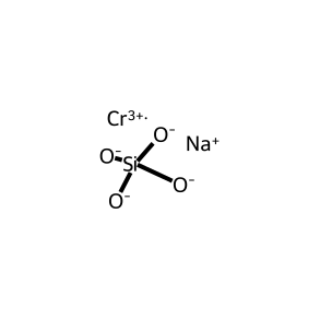 [Cr+3].[Na+].[O-][Si]([O-])([O-])[O-]